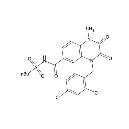 CCCCS(=O)(=O)NC(=O)c1ccc2c(c1)n(Cc1ccc(Cl)cc1Cl)c(=O)c(=O)n2C